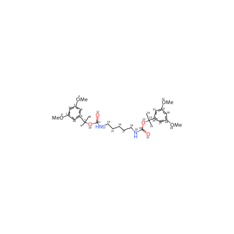 COc1cc(OC)cc(C(C)(C)OC(=O)NCCCCCNC(=O)OC(C)(C)c2cc(OC)cc(OC)c2)c1